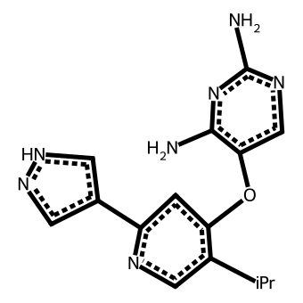 CC(C)c1cnc(-c2cn[nH]c2)cc1Oc1cnc(N)nc1N